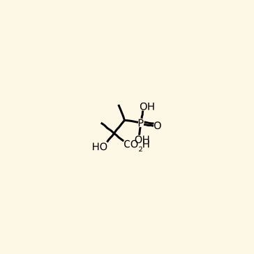 CC(C(C)(O)C(=O)O)P(=O)(O)O